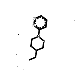 CCC1CCN(c2cccnn2)CC1